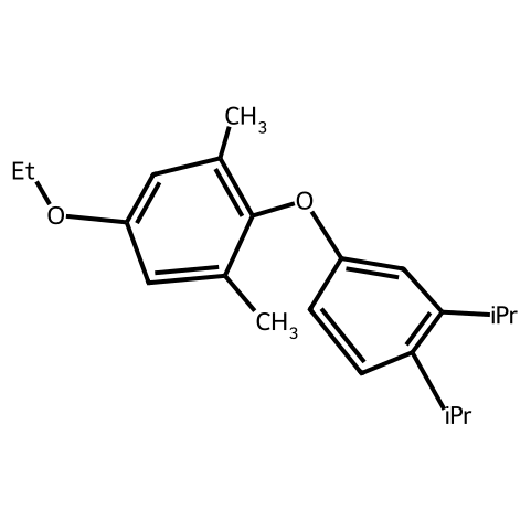 CCOc1cc(C)c(Oc2ccc(C(C)C)c(C(C)C)c2)c(C)c1